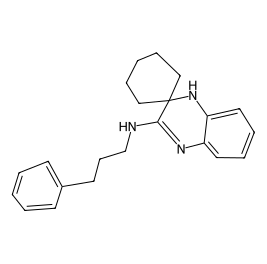 c1ccc(CCCNC2=Nc3ccccc3NC23CCCCC3)cc1